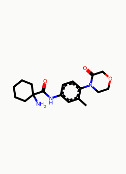 Cc1cc(NC(=O)C2(N)CCCCC2)ccc1N1CCOCC1=O